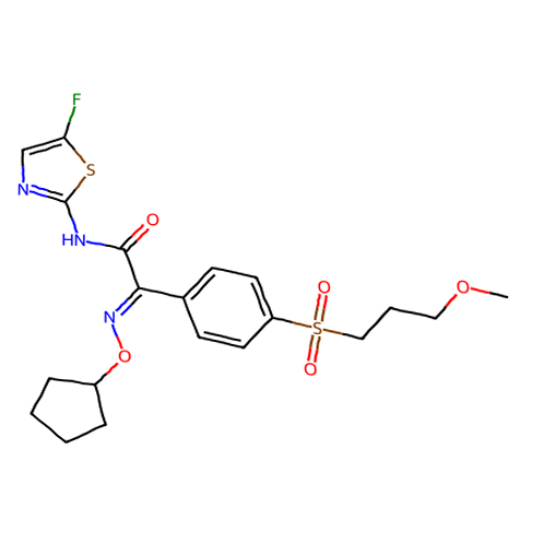 COCCCS(=O)(=O)c1ccc(/C(=N\OC2CCCC2)C(=O)Nc2ncc(F)s2)cc1